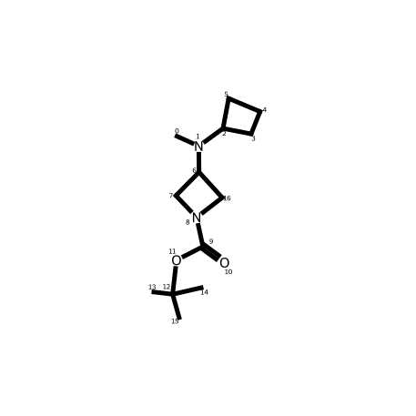 CN(C1CCC1)C1CN(C(=O)OC(C)(C)C)C1